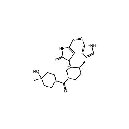 C[C@H]1CCN(C(=O)N2CCC(C)(O)CC2)C[C@H]1n1c(=O)[nH]c2cnc3[nH]ccc3c21